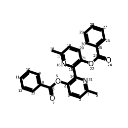 Cc1ccc(OC(=O)c2ccccc2)c(-c2nc(C)ccc2OC(=O)c2ccccc2)n1